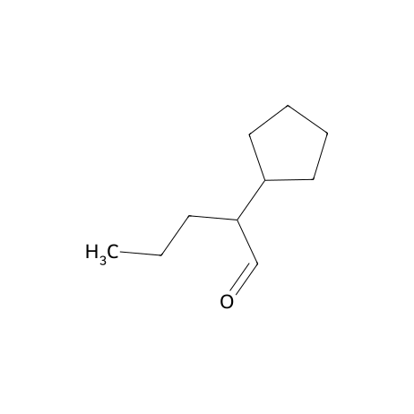 CCCC(C=O)C1CCCC1